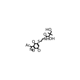 CC(=O)c1noc2c1C(=O)C(SCCNC(=O)[C@H](O)C(C)(C)CO)=CC2=O